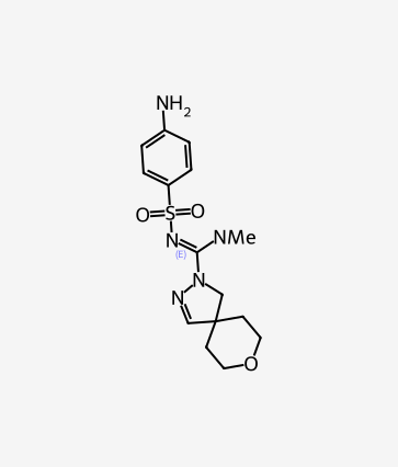 CN/C(=N\S(=O)(=O)c1ccc(N)cc1)N1CC2(C=N1)CCOCC2